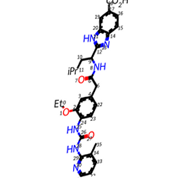 CCOc1cc(CC(=O)NC(CC(C)C)c2nc3ccc(C(=O)O)cc3[nH]2)ccc1NC(=O)Nc1ncccc1C